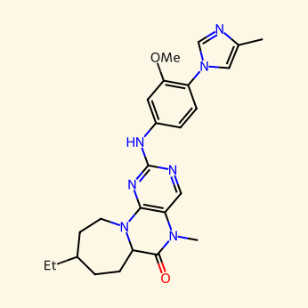 CCC1CCC2C(=O)N(C)c3cnc(Nc4ccc(-n5cnc(C)c5)c(OC)c4)nc3N2CC1